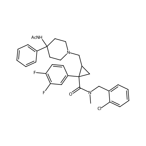 CC(=O)NC1(c2ccccc2)CCN(CC2CC2(C(=O)N(C)Cc2ccccc2Cl)c2ccc(F)c(F)c2)CC1